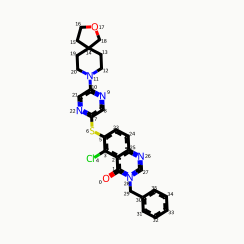 O=c1c2c(Cl)c(Sc3cnc(N4CCC5(CCOC5)CC4)cn3)ccc2ncn1Cc1ccccc1